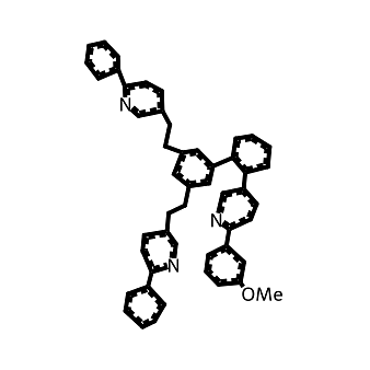 COc1cccc(-c2ccc(-c3ccccc3-c3cc(CCc4ccc(-c5ccccc5)nc4)cc(CCc4ccc(-c5ccccc5)nc4)c3)cn2)c1